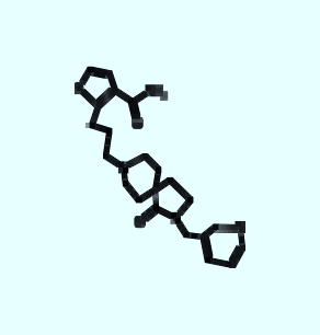 NC(=O)c1ccsc1[CH]CCN1CCC2(CC1)CCN(Cc1cccnc1)C2=O